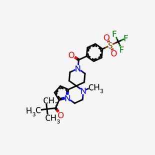 CN1CCn2c(C(=O)C(C)(C)C)ccc2C12CCN(C(=O)c1ccc(S(=O)(=O)C(F)(F)F)cc1)CC2